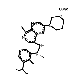 CO[C@@H]1CCCN(c2cnc3c(C)nnc(N[C@H](C)c4cccc(C(F)F)c4F)c3c2)C1